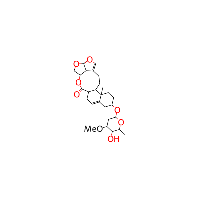 COC1CC(OC2CCC3(C)C(=CCC4C(=O)OC5COC6(C)OC=C(CCC43)C56)C2)OC(C)C1O